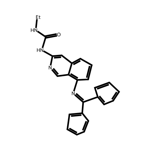 CCNC(=O)Nc1cc2cccc(N=C(c3ccccc3)c3ccccc3)c2cn1